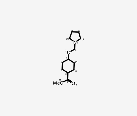 COC(=O)C1CCC(OCN2CCCC2)CC1